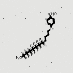 O=Cc1ccc(OCCCCC(F)(F)C(F)(F)C(F)(F)C(F)(F)C(F)(F)C(F)(F)C(F)(F)C(F)(F)F)cc1